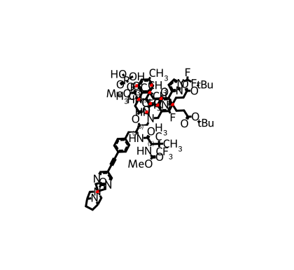 COC(=O)N[C@H](C(=O)N[C@@H](Cc1ccc(C#Cc2cnc(N3CC4CCC(C3)N4C3COC3)nc2)cc1)[C@H](CN(Cc1c(F)cc(-c2ccn(C(F)F)n2)cc1F)NC(=O)[C@@H](NC(=O)OC)C(C)(C)C(F)(F)F)OC(=O)CC(C)(C)c1c(CC(=O)NC(CCC(=O)OC(C)(C)C)CCC(=O)OC(C)(C)C)cc(C)cc1OP(=O)(O)O)C(C)(C)C(F)(F)F